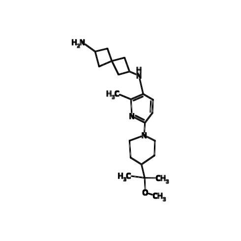 COC(C)(C)C1CCN(c2ccc(NC3CC4(CC(N)C4)C3)c(C)n2)CC1